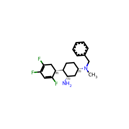 CN(Cc1ccccc1)[C@H]1CCC([C@H]2CC(F)=C(F)C=C2F)[C@@H](N)C1